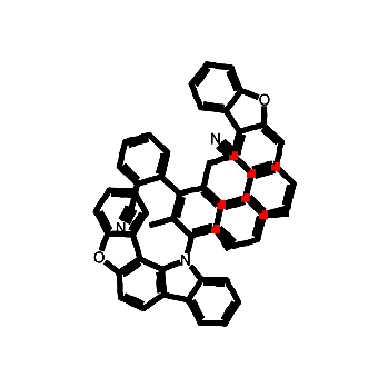 Cc1ccccc1-c1ccc2oc3ccccc3c2c1Cc1c(-c2ccccc2C#N)c(C)c(-n2c3ccccc3c3ccc4oc5ccccc5c4c32)c(C)c1-c1ccccc1C#N